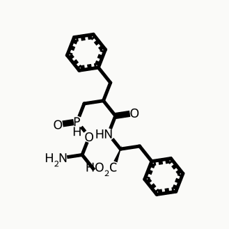 CC(N)O[PH](=O)CC(Cc1ccccc1)C(=O)N[C@@H](Cc1ccccc1)C(=O)O